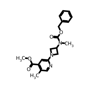 COC(=O)c1cc(N2CC(N(C)C(=O)OCc3ccccc3)C2)ncc1C